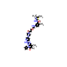 CC(=O)c1c(C)c2cnc(Nc3ccc(N4CCN(C(=O)CCOCCNc5ccc(C)c(C(=O)Nc6nc(C)c(C)s6)c5)CC4)cn3)nc2n(C2CCCC2)c1=O